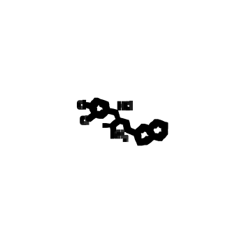 C[C@H](N)[C@H](C=Cc1ccc2ccccc2c1)Cc1ccc(Cl)c(Cl)c1.Cl